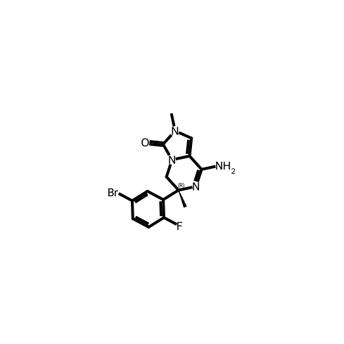 Cn1cc2n(c1=O)C[C@@](C)(c1cc(Br)ccc1F)N=C2N